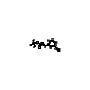 CC(C)(C)OC(=O)[N]Cc1cccc(C#N)c1